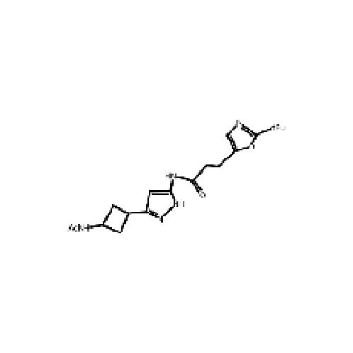 CC(=O)NC1CC(c2cc(NC(=O)CCc3cnc(C(C)(C)C)o3)[nH]n2)C1